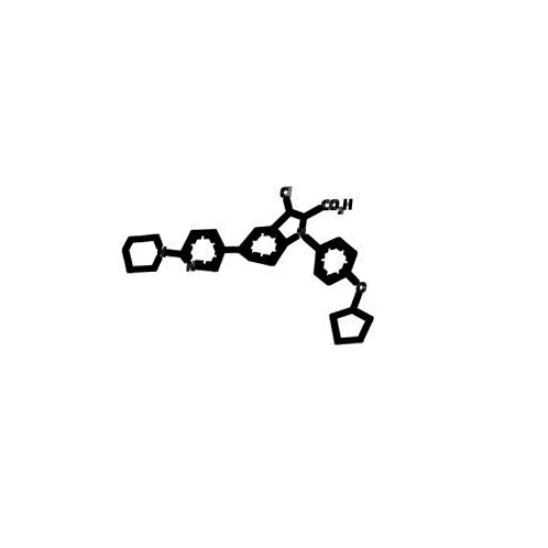 O=C(O)C1C(Cl)c2cc(-c3ccc(N4CCCCC4)nc3)ccc2N1c1ccc(OC2CCCC2)cc1